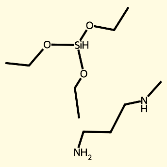 CCO[SiH](OCC)OCC.CNCCCN